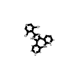 Clc1cncc(Cl)c1-c1nc2c([nH]1)-c1ccncc1Nc1ncccc1-2